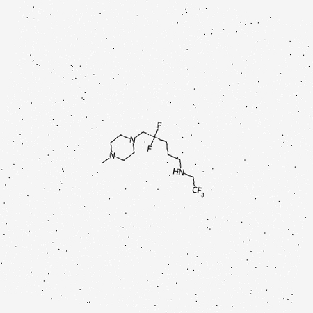 CN1CCN(CC(F)(F)CCCNCC(F)(F)F)CC1